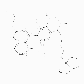 C=Nc1c(/C(=N\CCCC23CCCN2CCC3)N(C)C)cc(C)c(-c2cc(CCC)cc3ccc(F)c(CC)c23)c1F